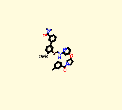 COc1ccc(-c2cccc(C(=O)N(C)C)c2)cc1SCNc1cc(OC2CCN(C(=O)c3cccc(C)c3)C2)ccn1